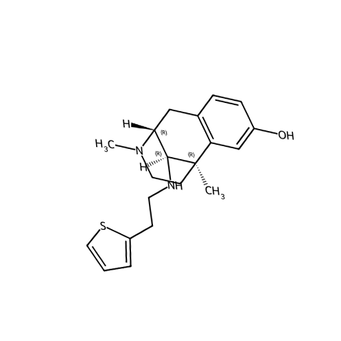 CN1CC[C@]2(C)c3cc(O)ccc3C[C@@H]1[C@@H]2NCCc1cccs1